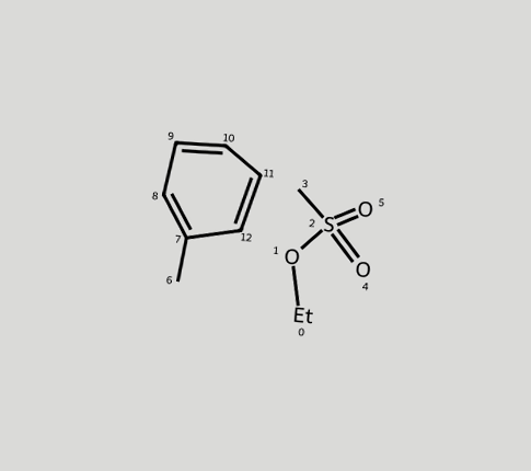 CCOS(C)(=O)=O.Cc1ccccc1